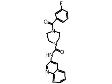 O=C(Nc1cnc2ccccc2c1)N1CCN(C(=O)c2cccc(F)c2)CC1